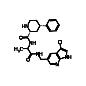 CC(NC(=O)[C@H]1C[C@@H](c2ccccc2)CCN1)C(=O)NCc1cnc2[nH]cc(Cl)c2c1